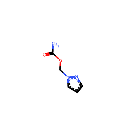 NC(=O)OCn1cccn1